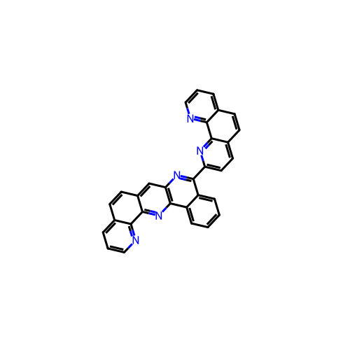 c1cnc2c(c1)ccc1ccc(-c3nc4cc5ccc6cccnc6c5nc4c4ccccc34)nc12